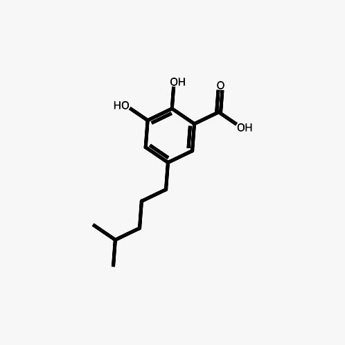 CC(C)CCCc1cc(O)c(O)c(C(=O)O)c1